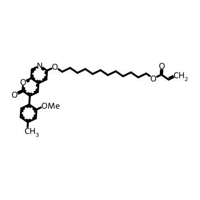 C=CC(=O)OCCCCCCCCCCCCOc1cc2cc(-c3ccc(C)cc3OC)c(=O)oc2cn1